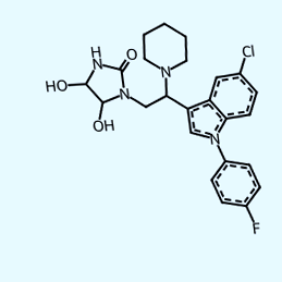 O=C1NC(O)C(O)N1CC(c1cn(-c2ccc(F)cc2)c2ccc(Cl)cc12)N1CCCCC1